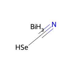 N#C[SeH].[BiH3]